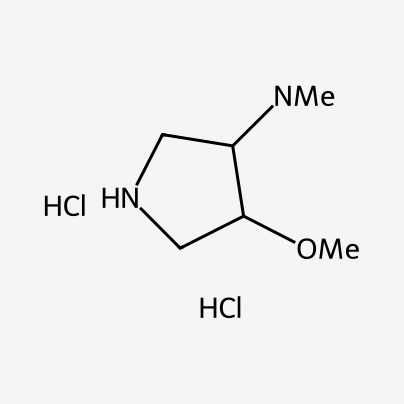 CNC1CNCC1OC.Cl.Cl